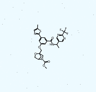 COC(=O)N1CC2(COc3cc(C(=O)NC(C)c4cnc(C(F)(F)F)nc4)cc(-c4ncc(C)s4)c3)CC1CO2